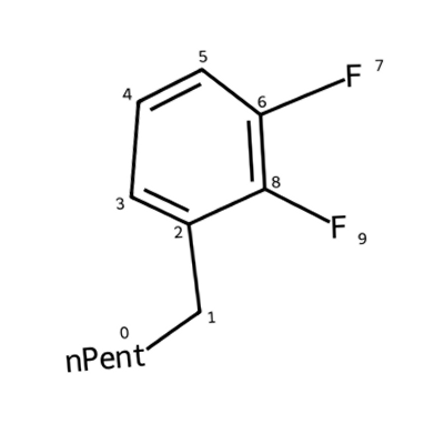 CCCCCCc1cccc(F)c1F